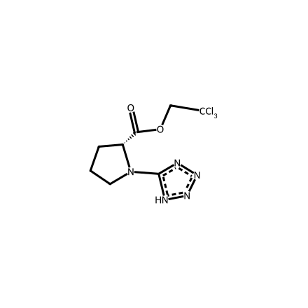 O=C(OCC(Cl)(Cl)Cl)[C@H]1CCCN1c1nnn[nH]1